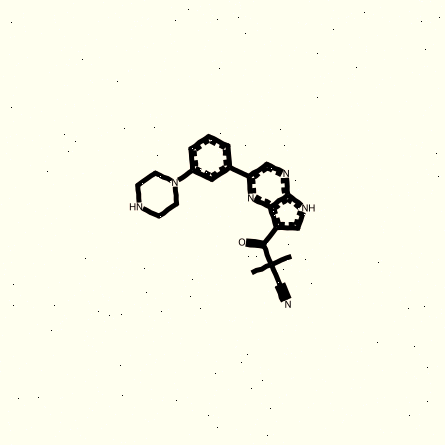 CC(C)(C#N)C(=O)c1c[nH]c2ncc(-c3cccc(N4CCNCC4)c3)nc12